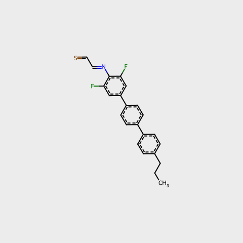 CCCc1ccc(-c2ccc(-c3cc(F)c(N=CC=S)c(F)c3)cc2)cc1